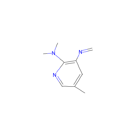 C=Nc1cc(C)cnc1N(C)C